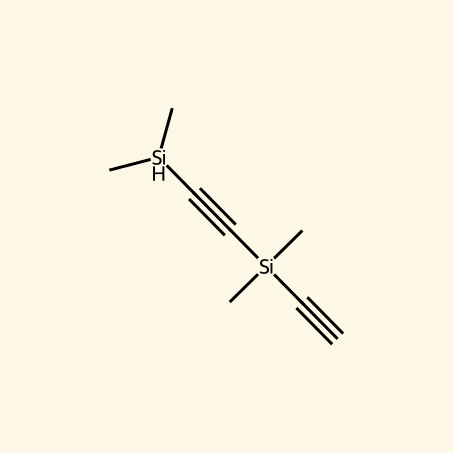 C#C[Si](C)(C)C#C[SiH](C)C